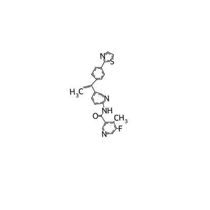 CC=C(c1ccc(-c2nccs2)cc1)c1ccc(NC(=O)c2cncc(F)c2C)nc1